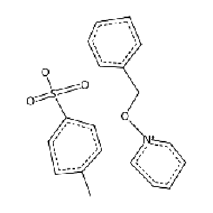 Cc1ccc(S(=O)(=O)[O-])cc1.c1ccc(CO[n+]2ccccc2)cc1